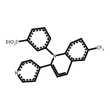 CCOC(=O)c1cccc(N2C(c3ccncc3)=C=Cc3cc(C(F)(F)F)ccc32)c1